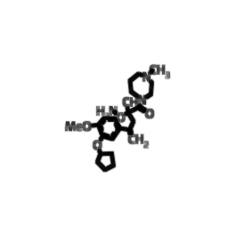 C=C(CC(C)(ON)C(=O)N1CCCN(C)CC1)c1ccc(OC)c(OC2CCCC2)c1